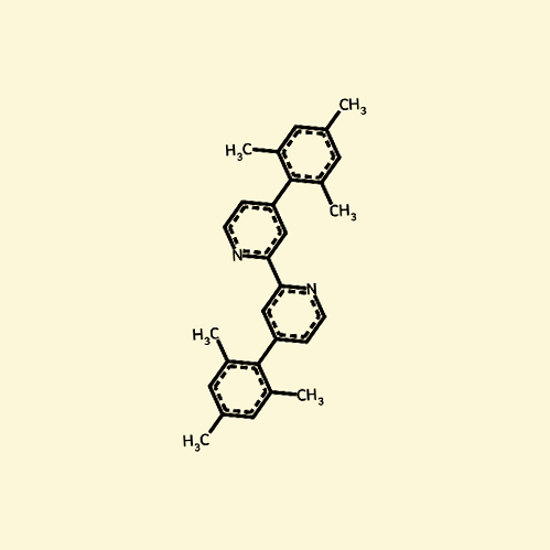 Cc1cc(C)c(-c2ccnc(-c3cc(-c4c(C)cc(C)cc4C)ccn3)c2)c(C)c1